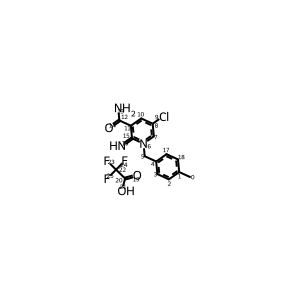 Cc1ccc(Cn2cc(Cl)cc(C(N)=O)c2=N)cc1.O=C(O)C(F)(F)F